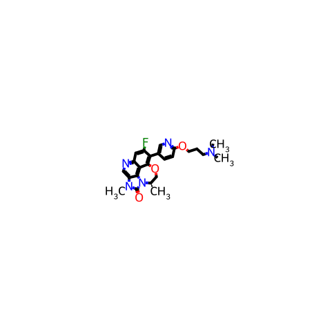 C[C@H]1COc2c(-c3ccc(OCCCN(C)C)nc3)c(F)cc3ncc4c(c23)n1c(=O)n4C